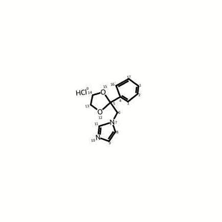 Cl.c1ccc(C2(Cn3ccnc3)OCCO2)cc1